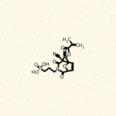 C=C(C)C(=O)OCC12C=CC(O1)C(=O)N(CCCP(=O)(O)O)C(=O)C2(C#N)C#N